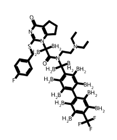 Bc1c(B)c(C(F)(F)F)c(B)c(B)c1-c1c(B)c(B)c(C(B)(B)N(CCN(CC)CC)C(=O)C(B)(B)n2c(SCc3ccc(F)cc3)nc(=O)c3c2CCC3)c(B)c1B